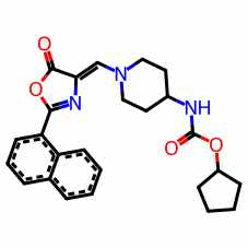 O=C(NC1CCN(C=C2N=C(c3cccc4ccccc34)OC2=O)CC1)OC1CCCC1